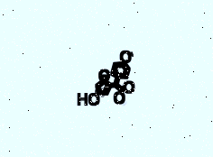 COC(=O)C(C1=C[C@H](O)CC1=O)c1ccc(OC)cc1